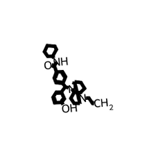 C=CCN1C2CCC3C1CCC2N3C(c1ccc(C(=O)NC2CCCCC2)cc1)c1cccc(O)c1